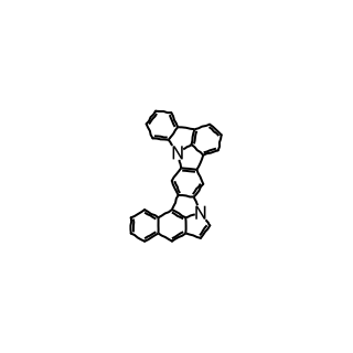 c1ccc2c(c1)cc1ccn3c4cc5c6cccc7c8ccccc8n(c5cc4c2c13)c76